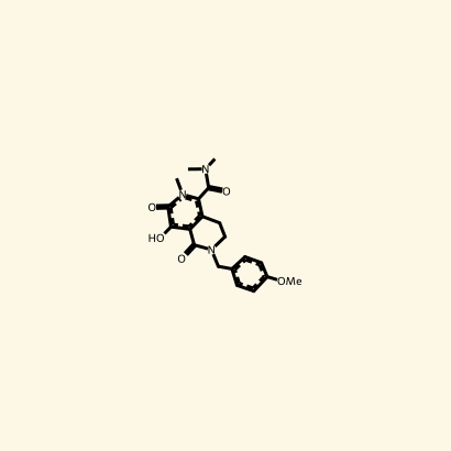 COc1ccc(CN2CCc3c(c(O)c(=O)n(C)c3C(=O)N(C)C)C2=O)cc1